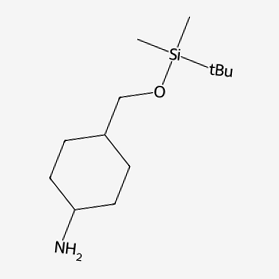 CC(C)(C)[Si](C)(C)OCC1CCC(N)CC1